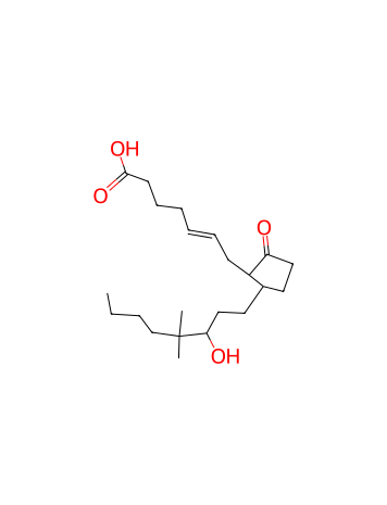 CCCCC(C)(C)C(O)CCC1CCC(=O)C1CC=CCCCC(=O)O